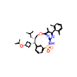 Cc1cccc(C)c1-c1nc2nc(c1C)OC[C@@H](CC(C)C)C([C@H]1C[C@@H](OC(C)C)C1)c1cccc(c1)S(=O)(=O)N2